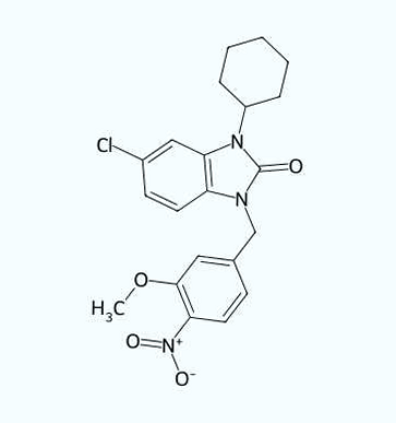 COc1cc(Cn2c(=O)n(C3CCCCC3)c3cc(Cl)ccc32)ccc1[N+](=O)[O-]